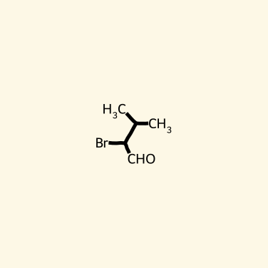 CC(C)C(Br)C=O